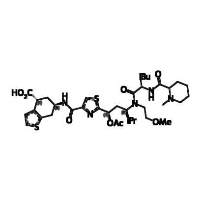 CCC(C)C(NC(=O)C1CCCCN1C)C(=O)N(CCOC)[C@H](C[C@@H](OC(C)=O)c1nc(C(=O)N[C@H]2Cc3sccc3[C@H](C(=O)O)C2)cs1)C(C)C